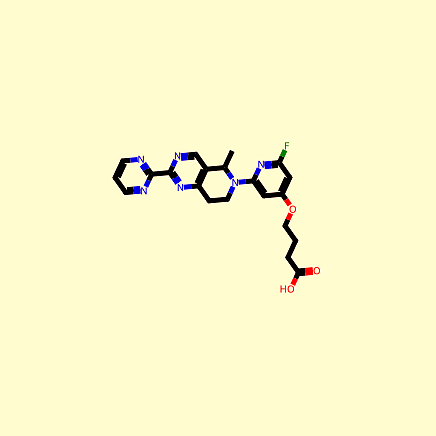 CC1c2cnc(-c3ncccn3)nc2CCN1c1cc(OCCCC(=O)O)cc(F)n1